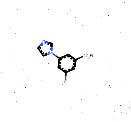 CCOC(=O)c1cc(Cl)cc(-n2ccnc2)c1